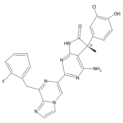 C[C@]1(c2ccc(O)c(Cl)c2)C(=O)Nc2nc(-c3cn4ccnc4c(Cc4ccccc4F)n3)nc(N)c21